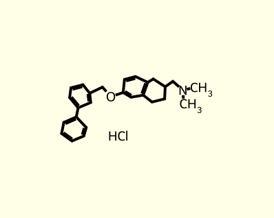 CN(C)CC1CCc2cc(OCc3cccc(-c4ccccc4)c3)ccc2C1.Cl